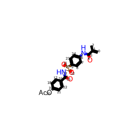 C=C(C)C(=O)Nc1ccc(S(=O)(=O)NC(=O)c2ccc(OC(C)=O)cc2)cc1